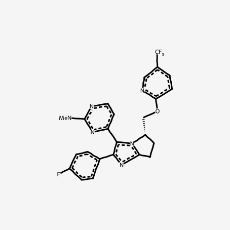 CNc1nccc(-c2c(-c3ccc(F)cc3)nc3n2[C@H](COc2ccc(C(F)(F)F)cn2)CC3)n1